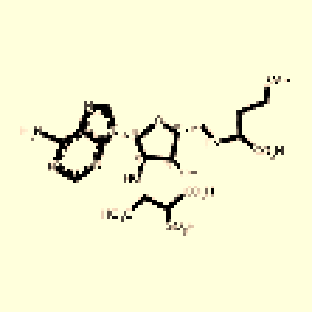 CSCCC(NC[C@H]1O[C@@H](n2cnc3c(N)ncnc32)[C@H](O)[C@@H]1O)C(=O)O.O=C(O)CC(C(=O)O)S(=O)(=O)O